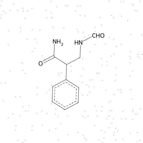 NC(=O)C(CNC=O)c1ccccc1